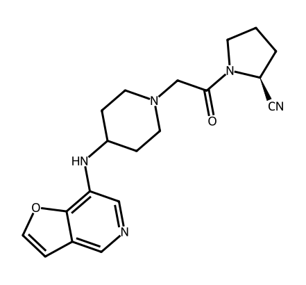 N#C[C@@H]1CCCN1C(=O)CN1CCC(Nc2cncc3ccoc23)CC1